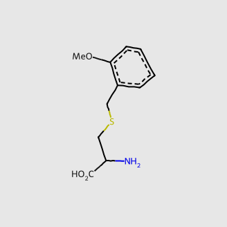 COc1ccccc1CSCC(N)C(=O)O